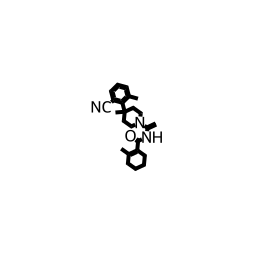 C=C(NC(=O)C1=C(C)CCCC1)N1CCC(C)(c2c(C)cccc2C#N)CC1